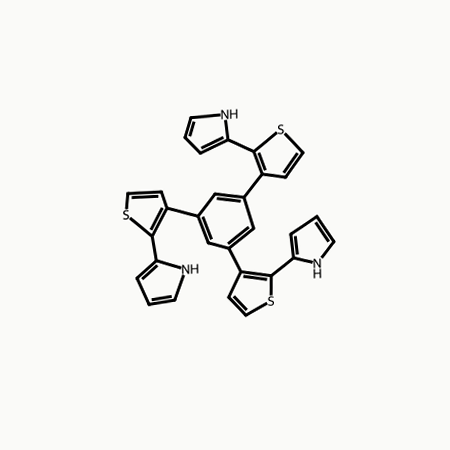 c1c[nH]c(-c2sccc2-c2cc(-c3ccsc3-c3ccc[nH]3)cc(-c3ccsc3-c3ccc[nH]3)c2)c1